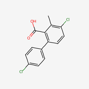 Cc1c(Cl)ccc(-c2ccc(Cl)cc2)c1C(=O)O